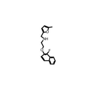 Cc1ccc(CNCCOc2ccc3ccccc3c2F)o1